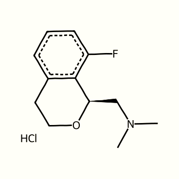 CN(C)C[C@H]1OCCc2cccc(F)c21.Cl